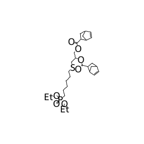 CCOP(=O)(CCCCCCSCC(COC(=O)C1CC2C=CC1C2)OC(=O)C1CC2C=CC1C2)OCC